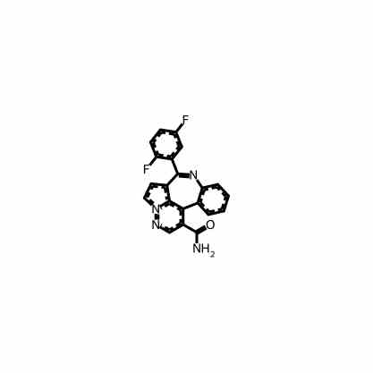 NC(=O)c1cnn2ccc3c2c1-c1ccccc1N=C3c1cc(F)ccc1F